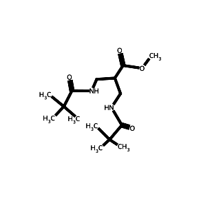 COC(=O)C(CNC(=O)C(C)(C)C)CNC(=O)C(C)(C)C